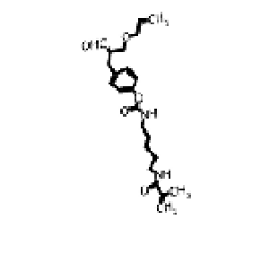 C=CCOCC(C=O)Cc1ccc(OC(=O)NCCCCCNC(=O)C(=C)C)cc1